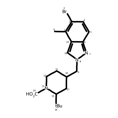 Cc1c(Br)ccc2nn(CC3CCN(C(=O)O)C(C(C)(C)C)C3)cc12